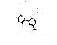 COc1ccc(C(N)=O)cc1-c1nc(C)ccc1C(=O)O